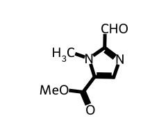 COC(=O)c1cnc(C=O)n1C